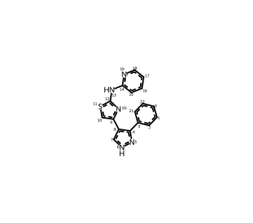 c1ccc(-c2n[nH]cc2-c2csc(Nc3ccccn3)n2)cc1